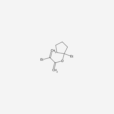 C=C(CC)C(=C)OC1(CC)CCCC1